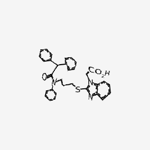 O=C(O)Cn1c(SCCCN(C(=O)C(c2ccccc2)c2ccccc2)c2ccccc2)nc2ccccc21